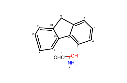 N.O=CO.c1ccc2c(c1)Cc1ccccc1-2